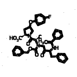 C[C@@H](C(=O)N1CC(Oc2ccc(F)cc2)C[C@H]1C(=O)O)N(CC(=O)C(Cc1ccccc1)NC(=O)c1ccccc1)C(=O)OCc1ccccc1